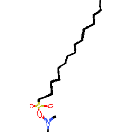 CCCCCCCCCCCCCCCS(=O)(=O)ON(C)C